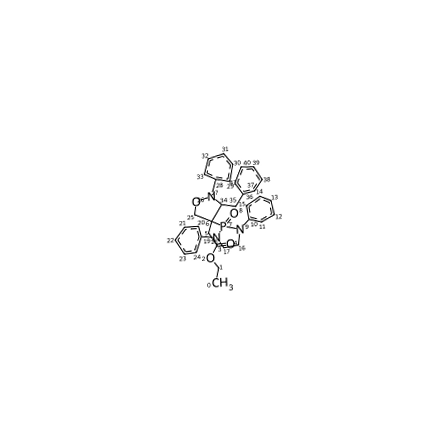 CCOC(=O)CC1(P2(=O)N(c3ccccc3)CCN2c2ccccc2)CON(c2ccccc2)C1Cc1ccccc1